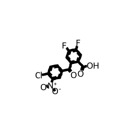 O=C(O)c1cc(F)c(F)cc1C(=O)c1ccc(Cl)c([N+](=O)[O-])c1